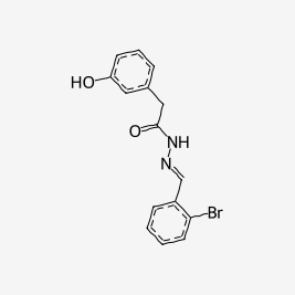 O=C(Cc1cccc(O)c1)N/N=C/c1ccccc1Br